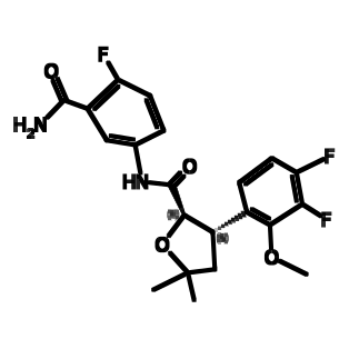 COc1c([C@@H]2CC(C)(C)O[C@H]2C(=O)Nc2ccc(F)c(C(N)=O)c2)ccc(F)c1F